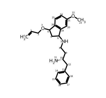 C=CCOC1CC(NCC[C@@H](N)Cc2ccccc2)c2cc(OC)ccc21